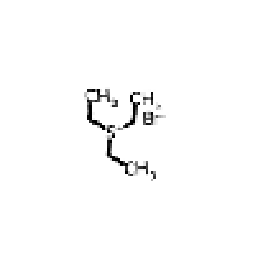 CC[S+](CC)CC.[Br-]